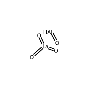 [O]=[AlH].[O]=[La](=[O])=[O]